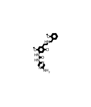 COc1ccccc1CNCCc1cc(OC)c(NC(=O)Nc2cnc(N)cn2)cc1Cl